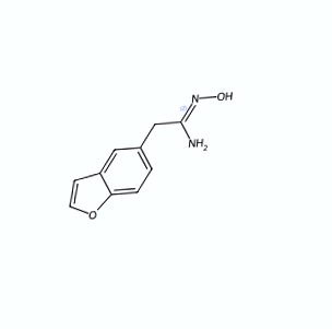 N/C(Cc1ccc2occc2c1)=N\O